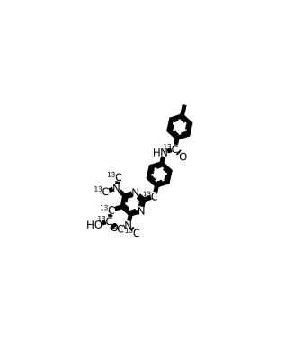 Cc1ccc([13C](=O)Nc2ccc([13CH2]c3nc(N([13CH3])[13CH3])c([13CH2][13C](=O)O)c(N([13CH3])[13CH3])n3)cc2)cc1